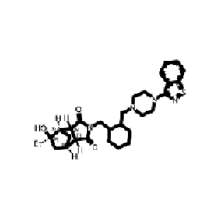 CC[C@@]1(O)C[C@H]2C[C@@H]1[C@@H]1C(=O)N(CC3CCCCC3CN3CCN(c4nsc5ccccc45)CC3)C(=O)[C@H]21